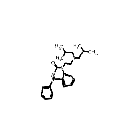 CC(C)CN(CCN1C(=O)N=S(c2ccccc2)c2ccccc21)CC(C)C